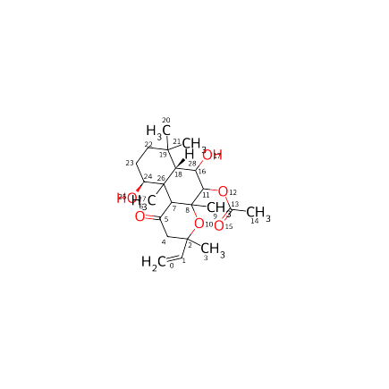 C=CC1(C)CC(=O)C2C(C)(O1)C(OC(C)=O)C(O)[C@H]1C(C)(C)CC[C@H](O)C21C